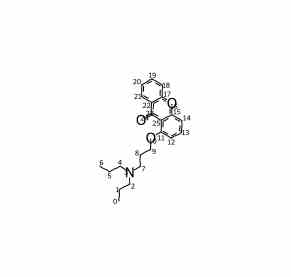 CCCN(CCC)CCCOc1cccc2oc3ccccc3c(=O)c12